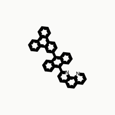 c1cnc2c(c1)ccc1ccc(-c3c4ccccc4c(-c4ccc5c6ccccc6c6ccccc6c5c4)c4ccccc34)nc12